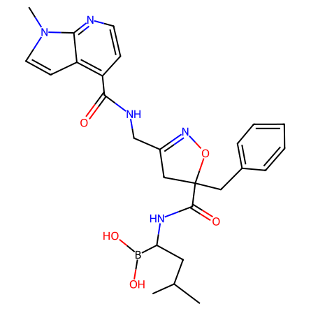 CC(C)CC(NC(=O)C1(Cc2ccccc2)CC(CNC(=O)c2ccnc3c2ccn3C)=NO1)B(O)O